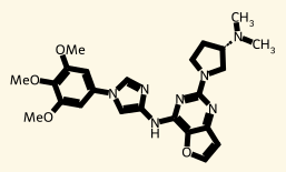 COc1cc(-n2cnc(Nc3nc(N4CC[C@H](N(C)C)C4)nc4ccoc34)c2)cc(OC)c1OC